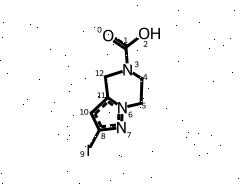 O=C(O)N1CCn2nc(I)cc2C1